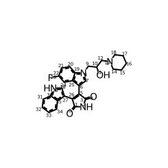 O=C1NC(=O)C(c2cn(CC(O)CN3CCCCC3)c3ccc(F)cc23)=C1c1c[nH]c2ccccc12